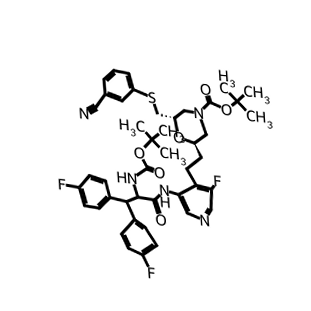 CC(C)(C)OC(=O)NC(C(=O)Nc1cncc(F)c1CC[C@@H]1CN(C(=O)OC(C)(C)C)C[C@@H](CSc2cccc(C#N)c2)O1)C(c1ccc(F)cc1)c1ccc(F)cc1